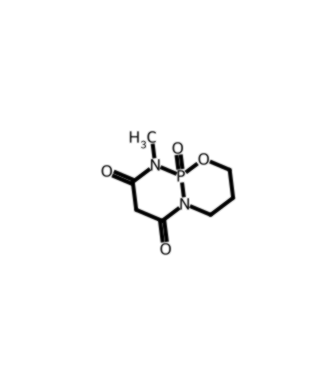 CN1C(=O)CC(=O)N2CCCOP12=O